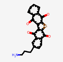 NCCCc1ccc2c(=O)c3sc4c(=O)c5ccccc5c(=O)c4c3c(=O)c2c1